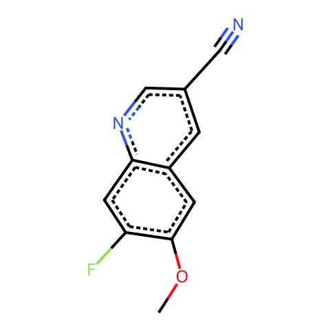 COc1cc2cc(C#N)cnc2cc1F